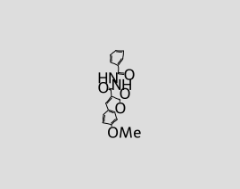 COc1ccc2cc(C(=O)NNC(=O)c3ccccc3)c(=O)oc2c1